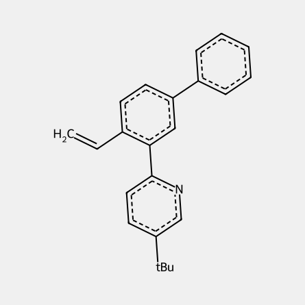 C=Cc1ccc(-c2ccccc2)cc1-c1ccc(C(C)(C)C)cn1